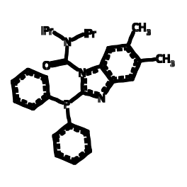 Cc1cc2nc(P(c3ccccc3)c3ccccc3)n(C(=O)N(C(C)C)C(C)C)c2cc1C